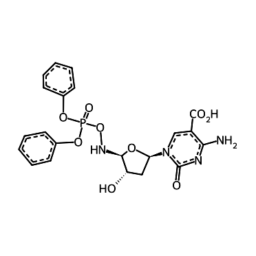 Nc1nc(=O)n([C@H]2C[C@H](O)[C@@H](NOP(=O)(Oc3ccccc3)Oc3ccccc3)O2)cc1C(=O)O